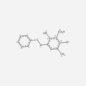 Cc1cc(OCc2ccccc2)c(O)c(C(=O)O)c1Cl